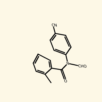 Cc1ccccc1C(=O)N(C=O)c1ccc(C#N)cc1